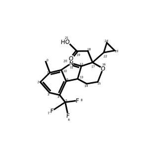 Cc1ccc(C(F)(F)F)c2c1N=C1C2CCOC1(CC(=O)O)C1CC1